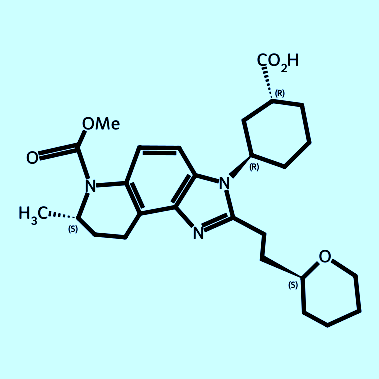 COC(=O)N1c2ccc3c(nc(CC[C@@H]4CCCCO4)n3[C@@H]3CCC[C@@H](C(=O)O)C3)c2CC[C@@H]1C